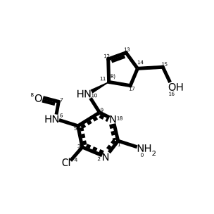 Nc1nc(Cl)c(NC=O)c(N[C@H]2C=CC(CO)C2)n1